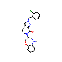 CN1C[C@H](N2CCc3cn(Cc4ccccc4F)nc3C2=O)COc2ccccc21